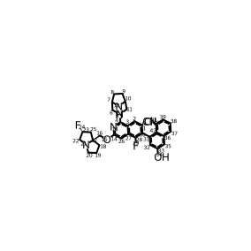 N#Cc1cc2c(N3CC4CCC(C3)N4)nc(OC[C@@]34CCCN3C[C@H](F)C4)cc2c(F)c1-c1cc(O)cc2cccc(Cl)c12